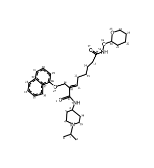 CC(C)N1CCC(NC(=O)/C(=C/CCCCC(=O)NOC2CCCCO2)COc2cccc3ccccc23)CC1